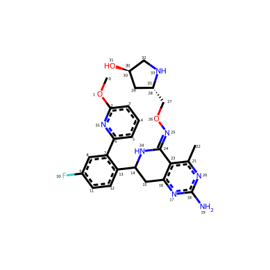 COc1cccc(-c2cc(F)ccc2C2Cc3nc(N)nc(C)c3C(=NOC[C@@H]3C[C@@H](O)CN3)N2)n1